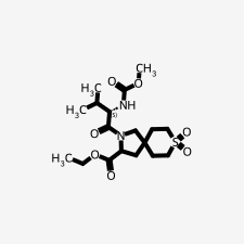 CCOC(=O)C1CC2(CCS(=O)(=O)CC2)CN1C(=O)[C@@H](NC(=O)OC)C(C)C